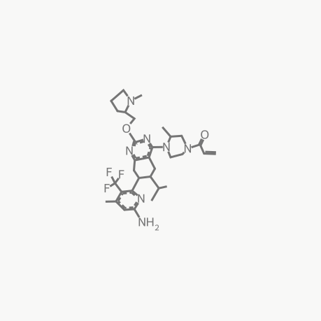 C=CC(=O)N1CCN(c2nc(OCC3CCCN3C)nc3c2CC(C(C)C)C(c2nc(N)cc(C)c2C(F)(F)F)C3)C(C)C1